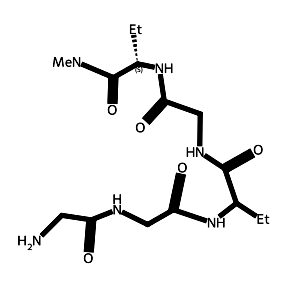 CCC(NC(=O)CNC(=O)CN)C(=O)NCC(=O)N[C@@H](CC)C(=O)NC